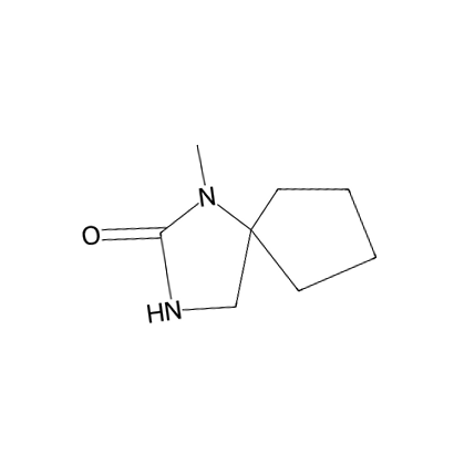 CN1C(=O)NCC12CCCC2